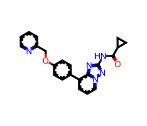 O=C(Nc1nc2c(-c3ccc(OCc4ccccn4)cc3)cccn2n1)C1CC1